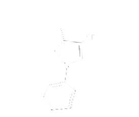 Cc1cn(-c2ccccc2)cc1C(F)(F)F